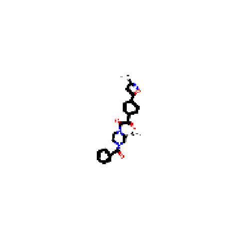 Cc1cc(-c2ccc(C(=O)C(=O)N3CCN(C(=O)c4ccccc4)C[C@H]3C)cc2)on1